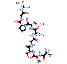 CC[C@H](C)[C@H](NC(=O)CNC(=O)[C@@H]1CCCN1C(=O)[C@H](CC(=O)O)NC(=O)[C@H](C)NC(=O)CNC(=O)[C@H](CO)NC(=O)[C@@H](NC(=O)[C@@H](N)C(C)C)[C@@H](C)CC)C(=O)O